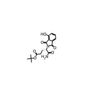 CC(C)(C)OC(=O)CC[C@@H](C(N)=O)N1C(=O)c2cccc(O)c2C1=O